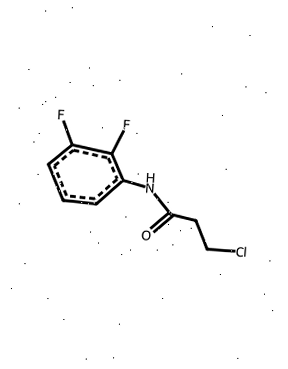 O=C(CCCl)Nc1cccc(F)c1F